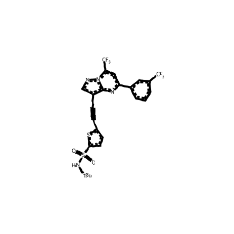 CC(C)(C)NS(=O)(=O)c1ccc(C#Cc2cnn3c(C(F)(F)F)cc(-c4cccc(C(F)(F)F)c4)nc23)s1